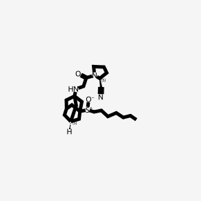 CCCCCCC[S+]([O-])C12CC3C[C@@H](CC(NCC(=O)N4CCC[C@H]4C#N)(C3)C1)C2